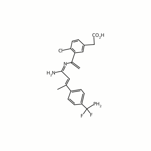 C=C(/N=C(N)\C=C(/C)c1ccc(C(F)(F)P)cc1)c1cc(CC(=O)O)ccc1Cl